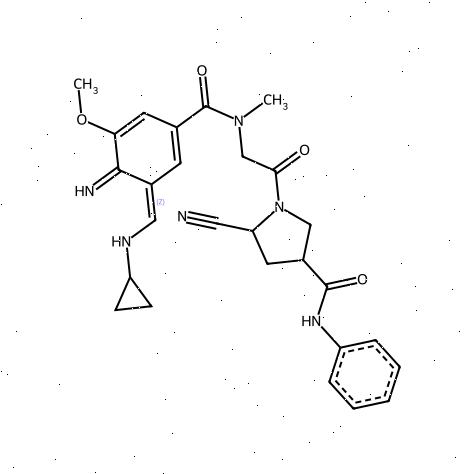 COC1=CC(C(=O)N(C)CC(=O)N2CC(C(=O)Nc3ccccc3)CC2C#N)=C/C(=C/NC2CC2)C1=N